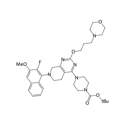 COc1cc2ccccc2c(N2CCc3c(nc(OCCCN4CCOCC4)nc3N3CCN(C(=O)OC(C)(C)C)CC3)C2)c1F